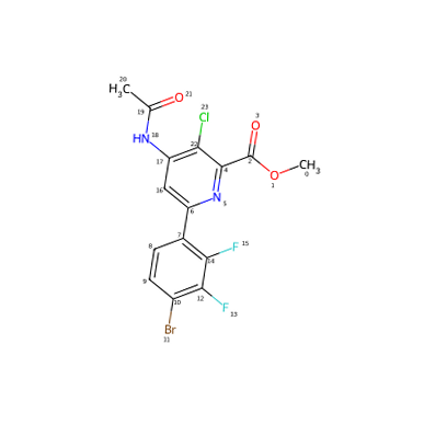 COC(=O)c1nc(-c2ccc(Br)c(F)c2F)cc(NC(C)=O)c1Cl